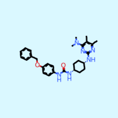 Cc1nc(N[C@H]2CC[C@@H](NC(=O)Nc3ccc(OCc4ccccc4)cc3)CC2)nc(N(C)C)c1C